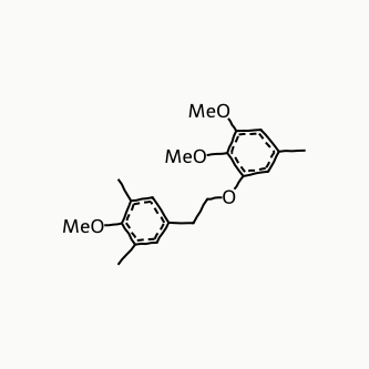 COc1cc(C)cc(OCCc2cc(C)c(OC)c(C)c2)c1OC